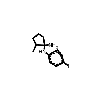 CC1CCCC1(N)Nc1ccc(I)cc1